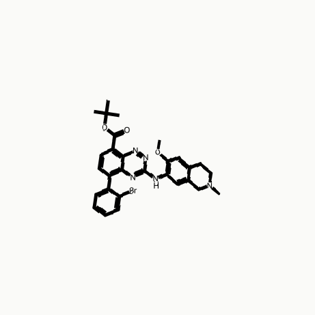 COc1cc2c(cc1Nc1nnc3c(C(=O)OC(C)(C)C)ccc(-c4ccccc4Br)c3n1)CN(C)CC2